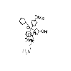 COc1ccc(C(OCc2ccccc2)(c2ccc(OC)cc2)C2CC(O)CN2C(=O)CCCCCN)cc1